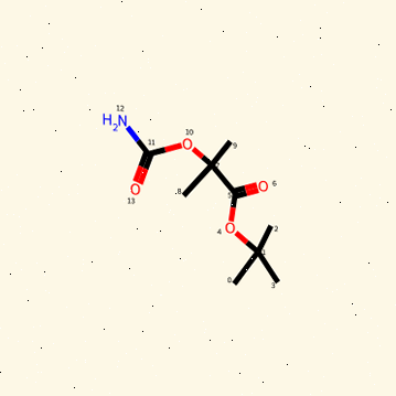 CC(C)(C)OC(=O)C(C)(C)OC(N)=O